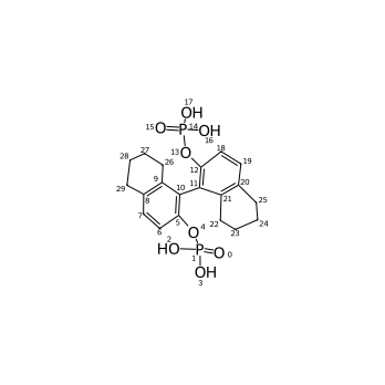 O=P(O)(O)Oc1ccc2c(c1-c1c(OP(=O)(O)O)ccc3c1CCCC3)CCCC2